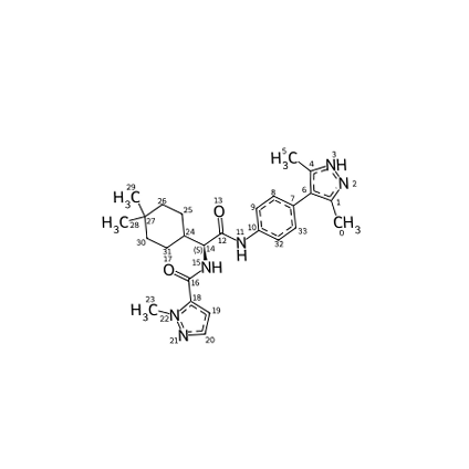 Cc1n[nH]c(C)c1-c1ccc(NC(=O)[C@@H](NC(=O)c2ccnn2C)C2CCC(C)(C)CC2)cc1